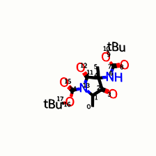 CC1C(=O)C(C)(NC(=O)OC(C)(C)C)C(=O)N1C(=O)OC(C)(C)C